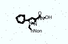 CCCCCCCCCCn1nc(C(=O)NO)cc1-c1ccccc1